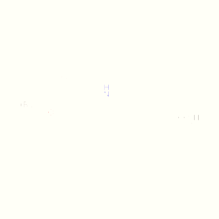 CC(C)(C)OC(=O)c1cc2ccc(C(=O)O)cc2[nH]1